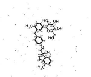 Cc1ccc([C@@H]2O[C@H](CO)[C@@H](O)[C@H](O)[C@H]2O)cc1Cc1ccc(OCC2(C)OCc3c(C)cccc32)cc1